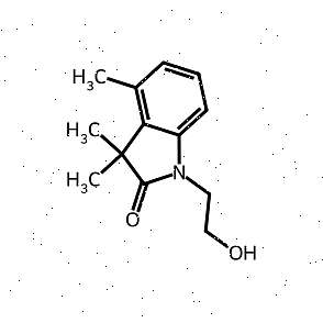 Cc1cccc2c1C(C)(C)C(=O)N2CCO